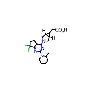 CC1CCCCN1c1nc(N2C[C@@H]3C(CC(=O)O)[C@@H]3C2)c2c(n1)C(F)(F)CC2